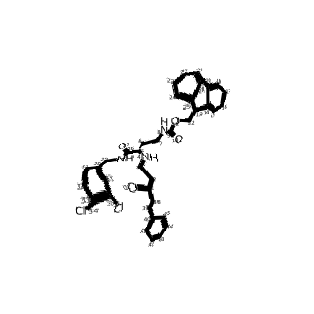 O=C(CCN[C@H](CCNC(=O)OCC1c2ccccc2-c2ccccc21)C(=O)NCc1ccc(Cl)c(Cl)c1)CCc1ccccc1